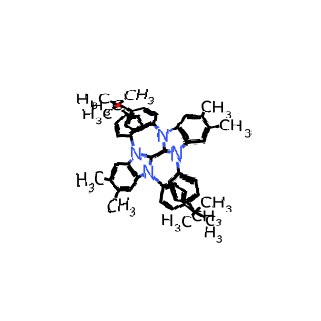 Cc1ccc(N2c3cc(C)c(C)cc3N(c3ccc(C(C)(C)C)cc3)C2C2N(c3ccc(C)cc3)c3cc(C)c(C)cc3N2c2ccc(C(C)(C)C)cc2)cc1